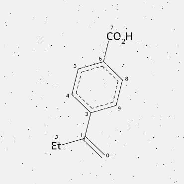 C=C(CC)c1ccc(C(=O)O)cc1